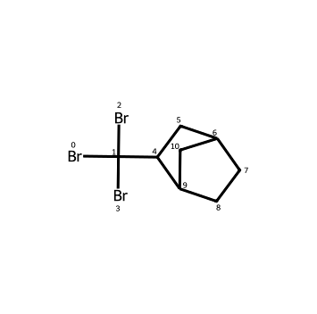 BrC(Br)(Br)C1CC2CCC1C2